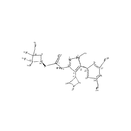 Cn1nc(NC(=O)C[C@@H]2CC(F)(F)C2(F)F)c(C2CCC2)c1-c1cc(F)cc(F)c1